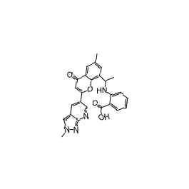 Cc1cc(C(C)Nc2ccccc2C(=O)O)c2oc(-c3cnc4nn(C)cc4c3)cc(=O)c2c1